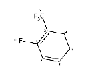 FC1=C(C(F)(F)F)CCC=C1